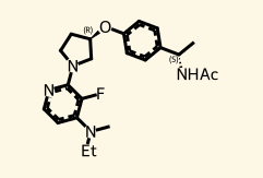 CCN(C)c1ccnc(N2CC[C@@H](Oc3ccc([C@H](C)NC(C)=O)cc3)C2)c1F